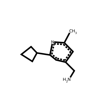 Cc1cc(CN)cc(C2CCC2)n1